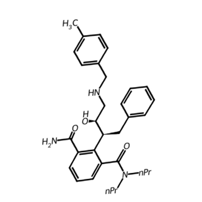 CCCN(CCC)C(=O)c1cccc(C(N)=O)c1[C@H](Cc1ccccc1)[C@@H](O)CNCc1ccc(C)cc1